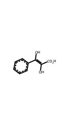 O=C(O)C(O)=C(O)c1ccccc1